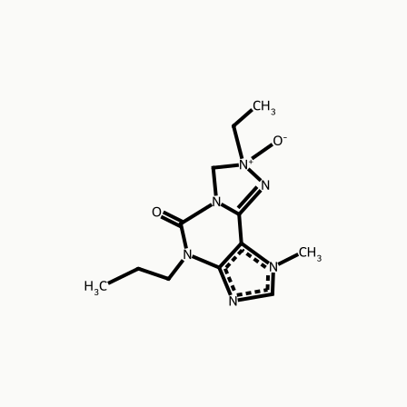 CCCN1C(=O)N2C[N+]([O-])(CC)N=C2c2c1ncn2C